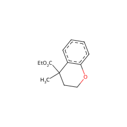 CCOC(=O)C1(C)CCOc2ccccc21